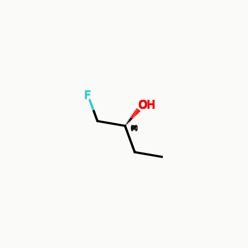 CC[C@@H](O)CF